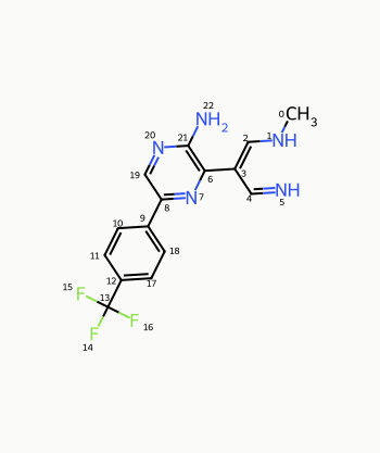 CN/C=C(\C=N)c1nc(-c2ccc(C(F)(F)F)cc2)cnc1N